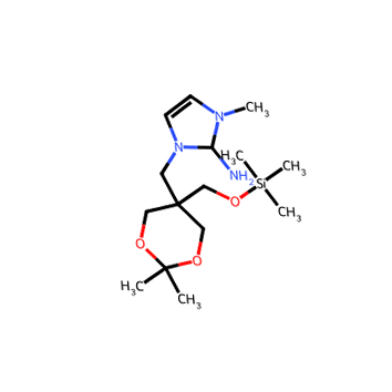 CN1C=CN(CC2(CO[Si](C)(C)C)COC(C)(C)OC2)C1N